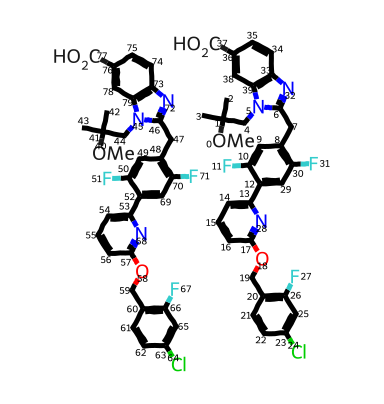 COC(C)(C)Cn1c(Cc2cc(F)c(-c3cccc(OCc4ccc(Cl)cc4F)n3)cc2F)nc2ccc(C(=O)O)cc21.COC(C)(C)Cn1c(Cc2cc(F)c(-c3cccc(OCc4ccc(Cl)cc4F)n3)cc2F)nc2ccc(C(=O)O)cc21